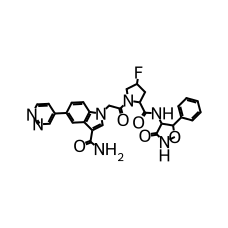 NC(=O)c1cn(CC(=O)N2CC(F)CC2C(=O)NC2C(=O)NOC2c2ccccc2)c2ccc(-c3ccnnc3)cc12